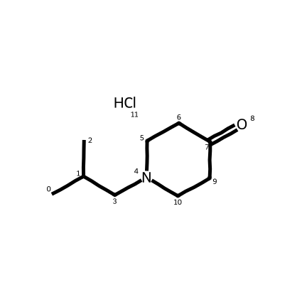 CC(C)CN1CCC(=O)CC1.Cl